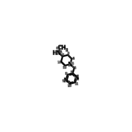 CNC1CCN(Cc2cnccn2)CC1